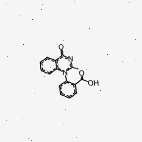 Cc1nc(=O)c2ccccc2n1-c1ccccc1C(=O)O